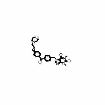 Cn1c(=O)c2c(ncn2Cc2ccc(C(=O)c3ccc(OCCN4CCOCC4)cc3)cc2)n(C)c1=O